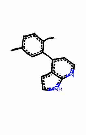 Cc1ccc(C)c(-c2ccnc3[nH]ccc23)c1